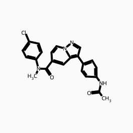 CC(=O)Nc1ccc(-c2cnn3ccc(C(=O)N(C)c4ccc(Cl)cc4)cc23)cc1